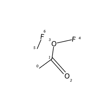 CC(=O)OF.CF